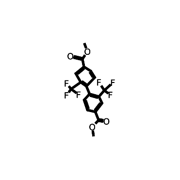 COC(=O)c1ccc(-c2ccc(C(=O)OC)cc2C(F)(F)F)c(C(F)(F)F)c1